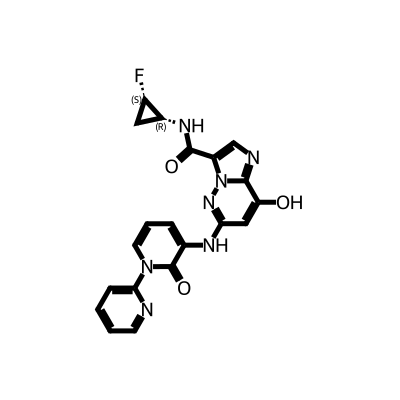 O=C(N[C@@H]1C[C@@H]1F)c1cnc2c(O)cc(Nc3cccn(-c4ccccn4)c3=O)nn12